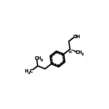 CC(C)Cc1ccc([C@@H](C)CO)cc1